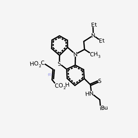 CCC(C)CNC(=S)c1ccc2c(c1)N(C(C)CN(CC)CC)c1ccccc1S2.O=C(O)/C=C/C(=O)O